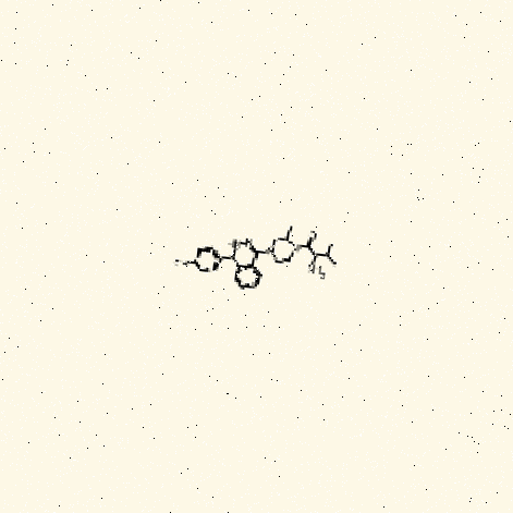 CC(C)C(N)C(=O)N1CCN(C2=NNC(c3ccc(Cl)cc3)c3ccccc32)CC1C